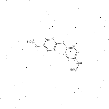 CCOC(=O)Nc1ccc(Cc2ccc(NC(=O)OCC)cc2)cc1